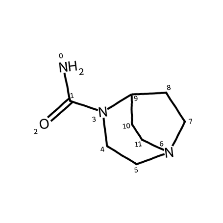 NC(=O)N1CCN2CCC1CC2